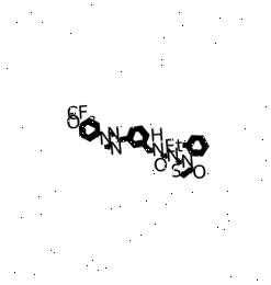 CCc1ccccc1N1C(=O)CS/C1=N\C(=O)NCc1cccc(-c2ncn(-c3ccc(OC(F)(F)F)cc3)n2)c1